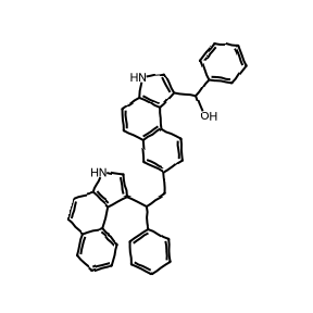 OC(c1ccccc1)c1c[nH]c2ccc3cc(CC(c4ccccc4)c4c[nH]c5ccc6ccccc6c45)ccc3c12